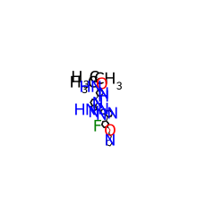 CC(C)(C)C(=O)Nc1cncc(-c2ccc3[nH]nc(-c4nc5c(-c6cc(F)cc(OCCN7CCCC7)c6)cncc5[nH]4)c3n2)c1